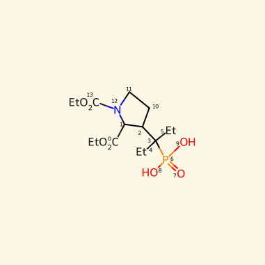 CCOC(=O)C1C(C(CC)(CC)P(=O)(O)O)CCN1C(=O)OCC